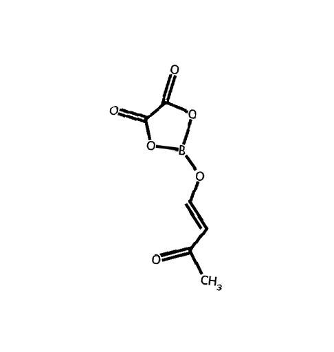 CC(=O)C=COB1OC(=O)C(=O)O1